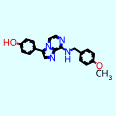 COc1ccc(CNc2nccn3c(-c4ccc(O)cc4)cnc23)cc1